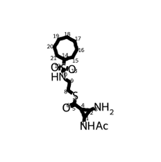 CC(=O)NC1C(N)C1C(=O)SCCNS(=O)(=O)C1CCCCCCC1